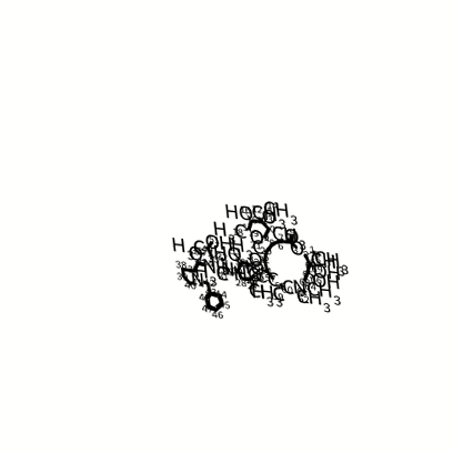 CC[C@H]1OC(=O)[C@H](C)[C@@H](C2C[C@@](C)(OC)[C@@H](O)[C@H](C)O2)[C@H](C)[C@@H](O[C@@H]2O[C@H](C)C[C@H](N(C)C[C@H](NC(=O)C3CCCN3Cc3ccccc3)[C@H](C)O)[C@H]2O)[C@](C)(O)C[C@@H](C)CN(C)[C@H](C)[C@@H](O)[C@]1(C)O